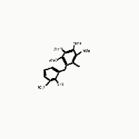 COc1c(C)c(Cc2cccc(C(=O)O)c2O)c(OC)c(OC)c1OC